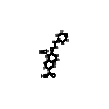 Cl.O=C(O)c1ccc2nc(OCCN3CCOCC3)ccc2c1